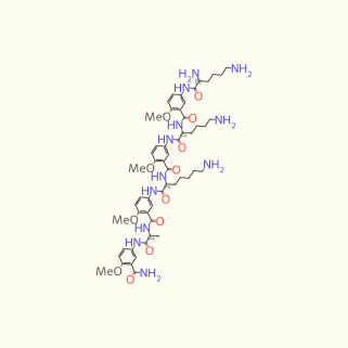 COc1ccc(NC(=O)[C@H](C)NC(=O)c2cc(NC(=O)[C@H](CCCCCN)NC(=O)c3cc(NC(=O)[C@H](CCCCN)NC(=O)c4cc(NC(=O)[C@@H](N)CCCCN)ccc4OC)ccc3OC)ccc2OC)cc1C(N)=O